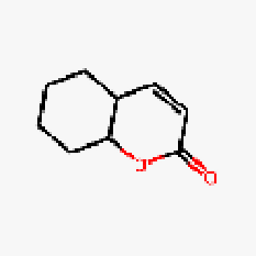 O=C1C=CC2CCCCC2O1